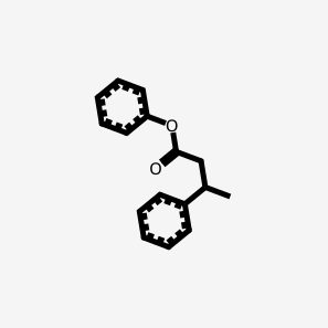 CC(CC(=O)Oc1ccccc1)c1ccccc1